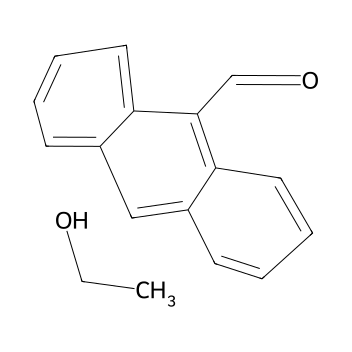 CCO.O=Cc1c2ccccc2cc2ccccc12